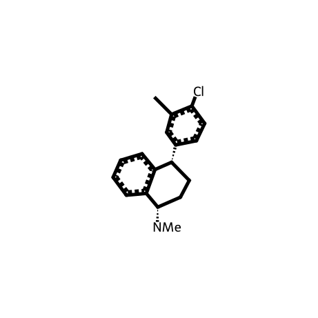 CN[C@H]1CC[C@@H](c2ccc(Cl)c(C)c2)c2ccccc21